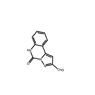 O=Cc1cc2c3ccccc3[nH]c(=O)n2n1